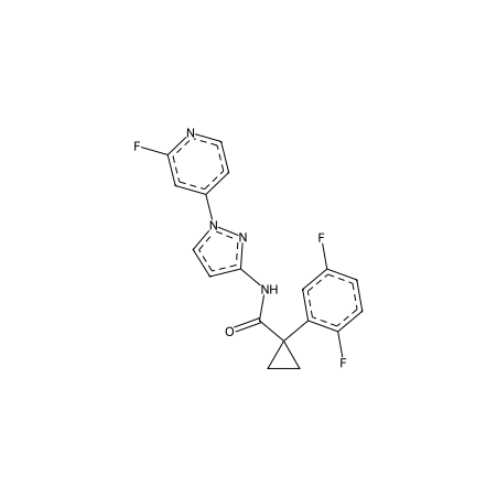 O=C(Nc1ccn(-c2ccnc(F)c2)n1)C1(c2cc(F)ccc2F)CC1